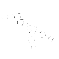 NC1CCN(C(=O)[C@H](NS(=O)(=O)c2ccc3cc(OC4CCCC4)ccc3c2)C(F)(F)c2ccc(-c3ccc(Cl)s3)cc2)CC1